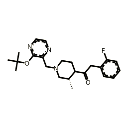 C[C@@H]1CN(Cc2nccnc2OC(C)(C)C)CCC1C(=O)Cc1ccccc1F